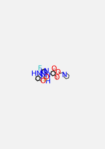 COc1cc(Nc2ncc(F)c(Nc3cccc(C)c3NS(C)(=O)=O)n2)cc(OC)c1OCCN1CCCCC1